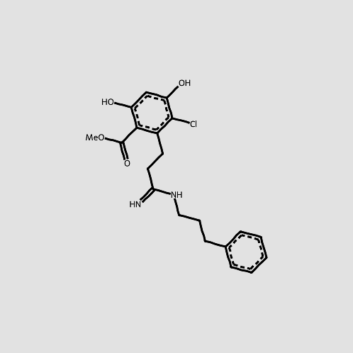 COC(=O)c1c(O)cc(O)c(Cl)c1CCC(=N)NCCCc1ccccc1